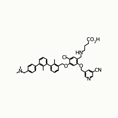 Cc1c(COc2cc(OCc3cncc(C#N)c3)c(CNCCCC(=O)O)cc2Cl)cccc1-c1cccc(-c2ccc(CN(C)C)cc2)c1C